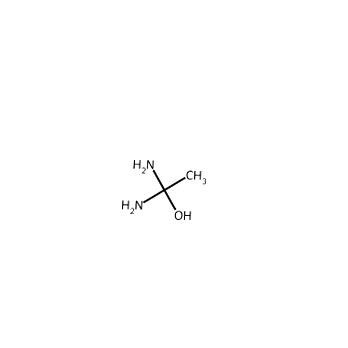 CC(N)(N)O